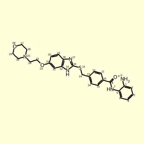 Nc1ccccc1NC(=O)c1ccc(CSc2nc3ccc(OCCN4CCOCC4)cc3[nH]2)cc1